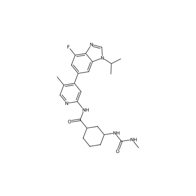 CNC(=O)NC1CCCC(C(=O)Nc2cc(-c3cc(F)c4ncn(C(C)C)c4c3)c(C)cn2)C1